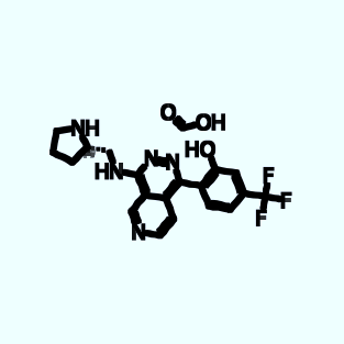 O=CO.Oc1cc(C(F)(F)F)ccc1-c1nnc(NC[C@@H]2CCCN2)c2cnccc12